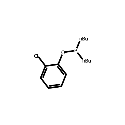 CCCCP(CCCC)Oc1ccccc1Cl